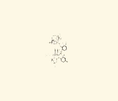 C[C@@H]1CC(C(c2ccc(F)cc2)C(NC(=O)O)C(=O)Nc2cccc(C(F)(F)F)c2CC[C@H]2CN[C@@H]3CCCS(=O)(=O)N2C3)C[C@H](C)O1